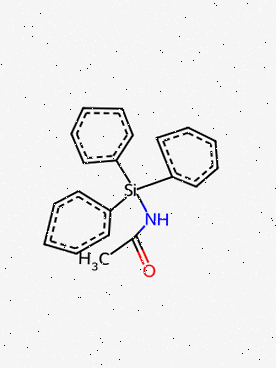 CC(=O)N[Si](c1ccccc1)(c1ccccc1)c1ccccc1